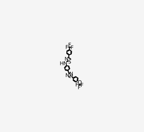 FC(F)(F)Oc1ccc(-n2cnc(-c3ccc(NC4=NC(c5ccc(C(F)(F)F)cc5)CS4)cc3)n2)cc1